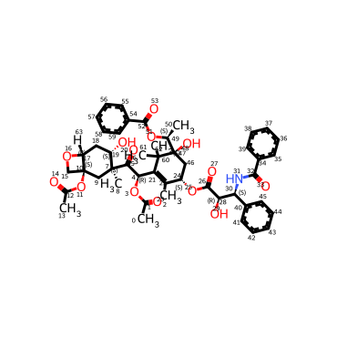 CC(=O)O[C@@H](C(=O)[C@@]1(C)C[C@]2(OC(C)=O)CO[C@@H]2C[C@@H]1O)C1=C(C)[C@@H](OC(=O)[C@H](O)[C@@H](NC(=O)c2ccccc2)c2ccccc2)C[C@@](O)([C@H](C)OC(=O)c2ccccc2)C1(C)C